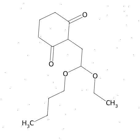 CCCCOC(CC1C(=O)CCCC1=O)OCC